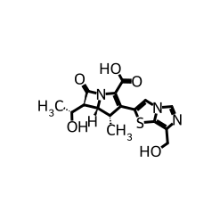 C[C@@H](O)[C@H]1C(=O)N2C(C(=O)O)=C(c3cn4cnc(CO)c4s3)[C@H](C)[C@H]12